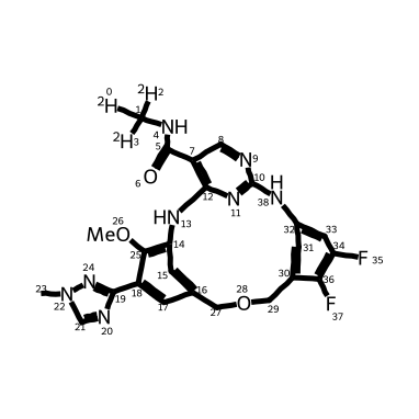 [2H]C([2H])([2H])NC(=O)c1cnc2nc1Nc1cc(cc(-c3ncn(C)n3)c1OC)COCc1cc(cc(F)c1F)N2